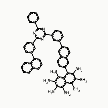 Bc1c(B)c(B)c2c(-c3ccc4cc(-c5cccc(-c6nc(-c7ccccc7)nc(-c7cccc(-c8cccc9ccccc89)c7)n6)c5)ccc4c3)c(B)c(B)c(B)c2c1B